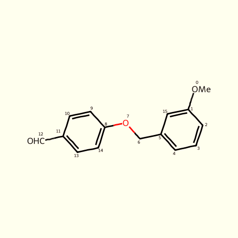 COc1cccc(COc2ccc(C=O)cc2)c1